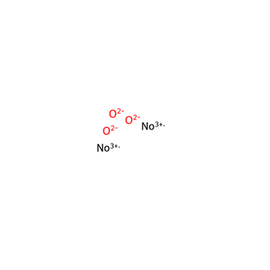 [No+3].[No+3].[O-2].[O-2].[O-2]